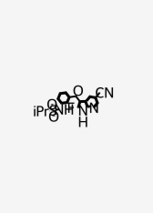 CC(C)S(=O)(=O)Nc1cccc(C(=O)c2c[nH]c3ncc(C#N)cc23)c1F